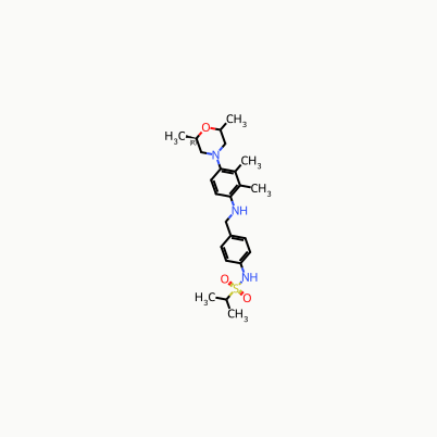 Cc1c(NCc2ccc(NS(=O)(=O)C(C)C)cc2)ccc(N2CC(C)O[C@H](C)C2)c1C